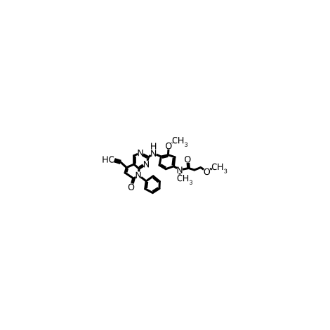 C#Cc1cc(=O)n(-c2ccccc2)c2nc(Nc3ccc(N(C)C(=O)CCOC)cc3OC)ncc12